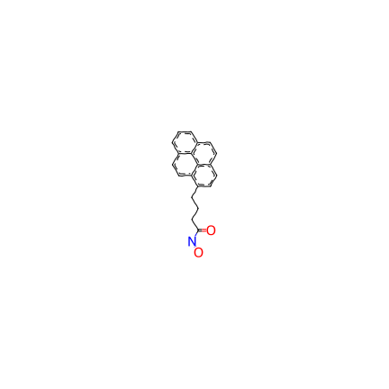 O=NC(=O)CCCc1ccc2ccc3cccc4ccc1c2c34